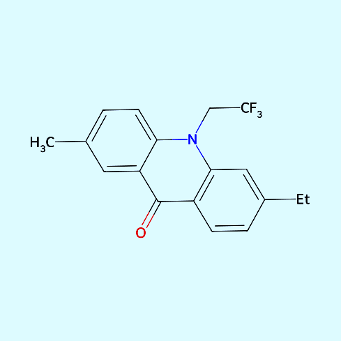 CCc1ccc2c(=O)c3cc(C)ccc3n(CC(F)(F)F)c2c1